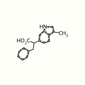 Cc1c[nH]c2cc(C(Cc3ccccc3)C(=O)O)ccc12